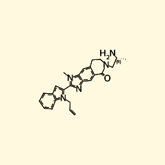 C=CCn1c(-c2nc3cc4c(cc3n2C)CCN(C[C@@H](C)N)C4=O)cc2ccccc21